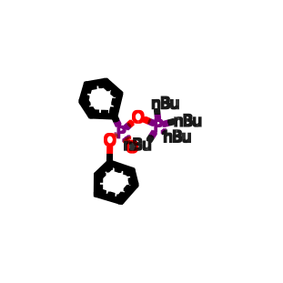 CCCCP(CCCC)(CCCC)(CCCC)OP(=O)(Oc1ccccc1)c1ccccc1